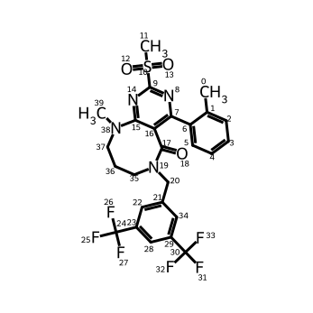 Cc1ccccc1-c1nc(S(C)(=O)=O)nc2c1C(=O)N(Cc1cc(C(F)(F)F)cc(C(F)(F)F)c1)CCCN2C